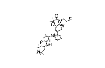 CN1C(C)(C)CC(Nc2nc(Nc3ccccc3-c3cnc4c(c3)OC(C)(C)C(=O)N4CCF)ncc2F)CC1(C)C